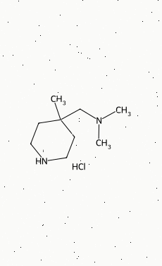 CN(C)CC1(C)CCNCC1.Cl